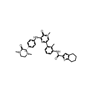 Cc1c(NC(=O)c2cc3c(s2)CCCC3)cccc1-c1cn(C)c(=O)c(Nc2ccc([C@H]3C(=O)N(C)CCN3C)cc2)n1